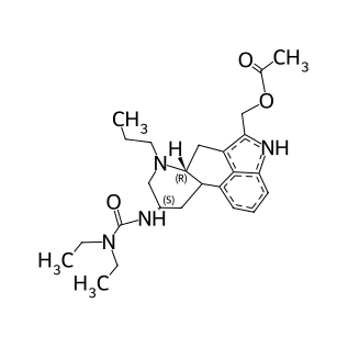 CCCN1C[C@@H](NC(=O)N(CC)CC)CC2c3cccc4[nH]c(COC(C)=O)c(c34)C[C@H]21